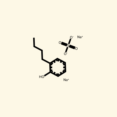 CCCCc1ccccc1O.O=S(=O)([O-])[O-].[Na+].[Na+]